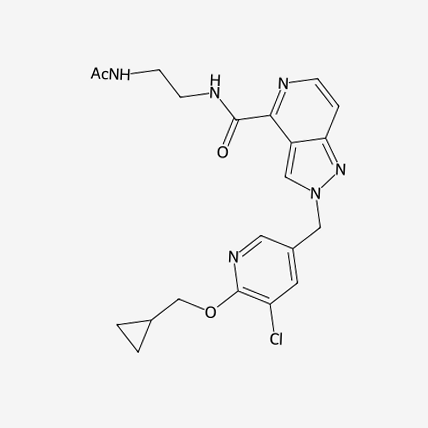 CC(=O)NCCNC(=O)c1nccc2nn(Cc3cnc(OCC4CC4)c(Cl)c3)cc12